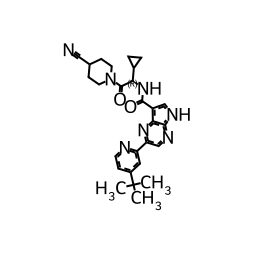 CC(C)(C)c1ccnc(-c2cnc3[nH]cc(C(=O)N[C@@H](C(=O)N4CCC(C#N)CC4)C4CC4)c3n2)c1